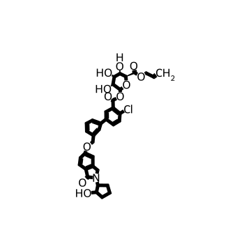 C=CCOC(=O)[C@H]1OC(OC(=O)c2cc(-c3cccc(COc4ccc5c(c4)CN(C4CCCC4O)C5=O)c3)ccc2Cl)[C@H](O)[C@@H](O)[C@@H]1O